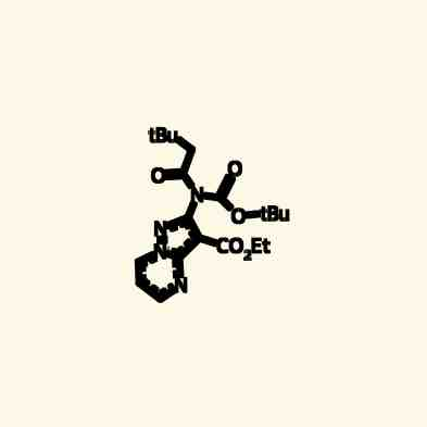 CCOC(=O)c1c(N(C(=O)CC(C)(C)C)C(=O)OC(C)(C)C)nn2cccnc12